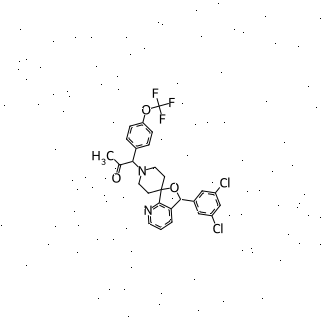 CC(=O)C(c1ccc(OC(F)(F)F)cc1)N1CCC2(CC1)OC(c1cc(Cl)cc(Cl)c1)c1cccnc12